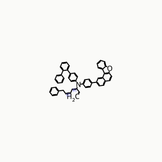 C=C/C(=C\C=C/Cc1ccccc1)N(c1ccc(-c2ccc3ccc4oc5ccccc5c4c3c2)cc1)c1ccc(-c2ccccc2-c2ccccc2)cc1